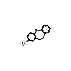 Bc1ccc2c(c1)CCc1ccccc1N2